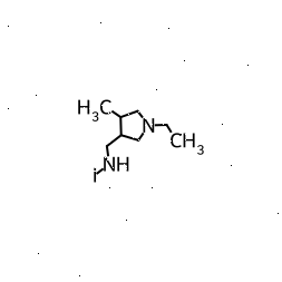 CCN1CC(C)C(CNI)C1